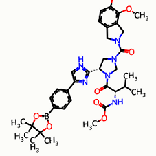 COC(=O)N[C@H](C(=O)N1CN(C(=O)N2Cc3ccc(OC)c(OC)c3C2)C[C@H]1c1nc(-c2ccc(B3OC(C)(C)C(C)(C)O3)cc2)c[nH]1)C(C)C